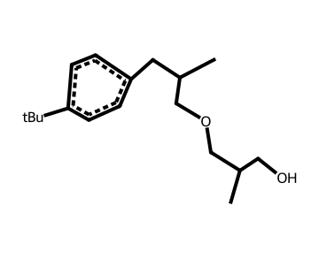 CC(CO)COCC(C)Cc1ccc(C(C)(C)C)cc1